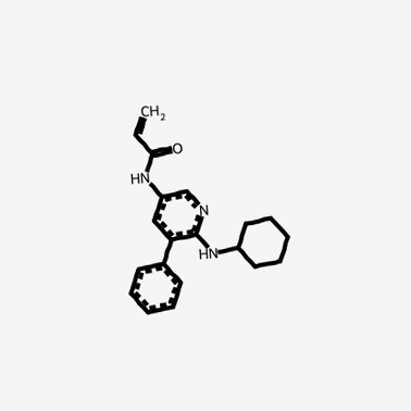 C=CC(=O)Nc1cnc(NC2CCCCC2)c(-c2ccccc2)c1